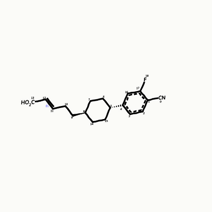 N#Cc1ccc([C@H]2CC[C@H](CC/C=C/C(=O)O)CC2)cc1F